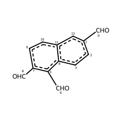 O=Cc1ccc2c(C=O)c(C=O)ccc2c1